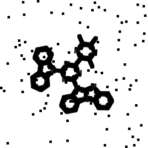 Cc1nc(C)c(-c2nc(-n3c4ccccc4c4ccccc43)nc(-n3c4ccccc4n4c5ccccc5nc34)n2)nc1C